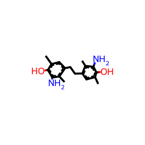 Cc1cc(CCc2cc(C)c(O)c(N)c2C)c(C)c(N)c1O